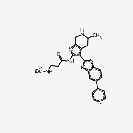 CC[C@H](C)NCCC(=O)Nc1sc2c(c1-c1nc3cc(-c4ccncc4)ccc3s1)CC(C)NC2